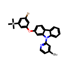 CC(C)(C)c1ccnc(-n2c3ccccc3c3ccc(Oc4cc(Br)cc([Si](C)(C)C)c4)cc32)c1